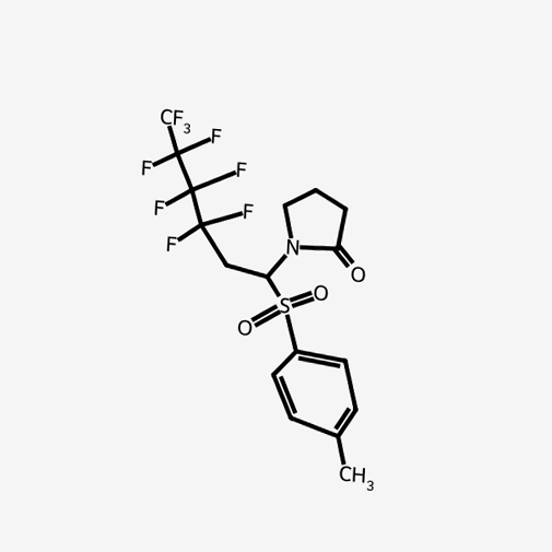 Cc1ccc(S(=O)(=O)C(CC(F)(F)C(F)(F)C(F)(F)C(F)(F)F)N2CCCC2=O)cc1